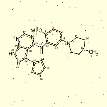 COc1ccc(N2CCN(C)CC2)cc1Nc1ncnc2[nH]nc(-c3ccsc3)c12